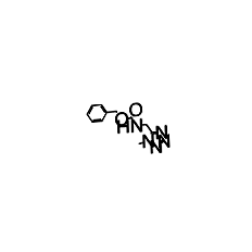 Cn1nnnc1CNC(=O)OCc1ccccc1